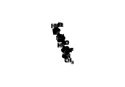 CCNC1CCN(c2ncc(C(=O)Nc3cc(F)c4nc(C)cn4c3)cn2)C1